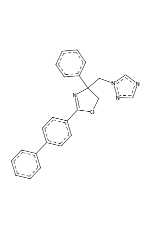 c1ccc(-c2ccc(C3=NC(Cn4cncn4)(c4ccccc4)CO3)cc2)cc1